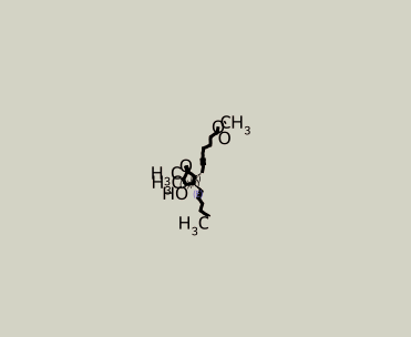 CCCC/C=C/[C@@H]1[C@@H](CC#CCCCC(=O)OC)C(=O)C(C)(C)[C@H]1O